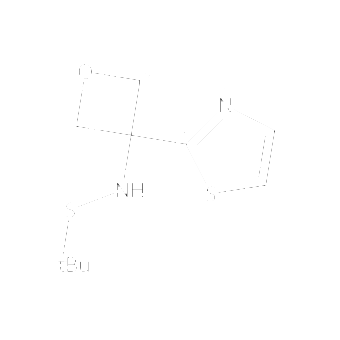 CC(C)(C)SNC1(c2nccs2)COC1